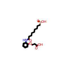 O=C(O)CCOc1ccccc1NC(=O)CCCCCCCCS(=O)O